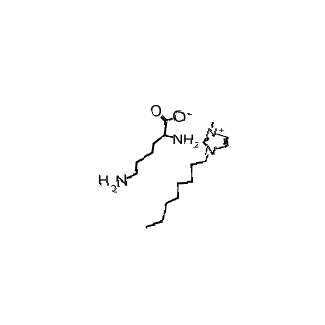 CCCCCCCCn1cc[n+](C)c1.NCCCCC(N)C(=O)[O-]